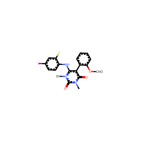 CCn1c(Nc2ccc(I)cc2F)c(-c2ccccc2OC=O)c(=O)n(C)c1=O